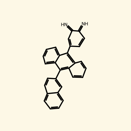 N=C1C=CC(c2c3ccccc3c(-c3ccc4ccccc4c3)c3ccccc23)=CC1=N